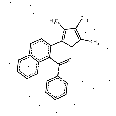 CC1=C(C)C(C)=C(c2ccc3ccccc3c2C(=O)c2ccccc2)C1